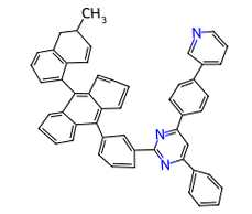 CC1C=Cc2c(cccc2-c2c3ccccc3c(-c3cccc(-c4nc(-c5ccccc5)cc(-c5ccc(-c6cccnc6)cc5)n4)c3)c3ccccc23)C1